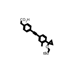 Cc1cc(C#Cc2ccc(CC(=O)O)cc2)ccc1C1(OCC(C)(C)C)CC1